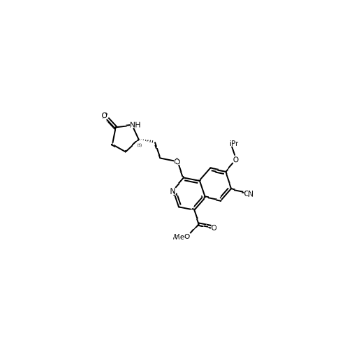 COC(=O)c1cnc(OCC[C@@H]2CCC(=O)N2)c2cc(OC(C)C)c(C#N)cc12